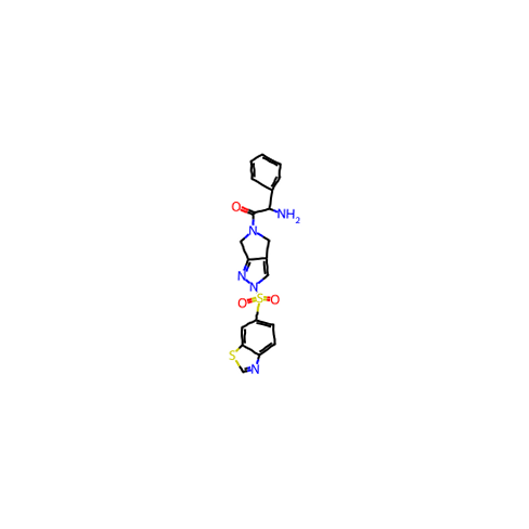 NC(C(=O)N1Cc2cn(S(=O)(=O)c3ccc4ncsc4c3)nc2C1)c1ccccc1